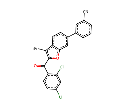 CC(C)c1c(C(=O)c2ccc(Cl)cc2Cl)oc2cc(-c3cccc(C#N)c3)ccc12